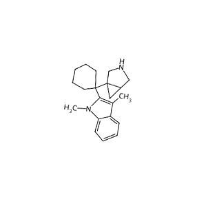 Cc1c(C2(C34CNCC3C4)CCCCC2)n(C)c2ccccc12